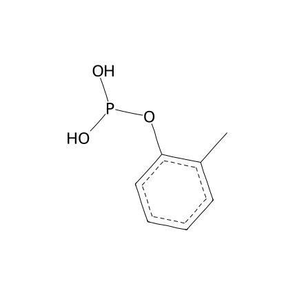 Cc1ccccc1OP(O)O